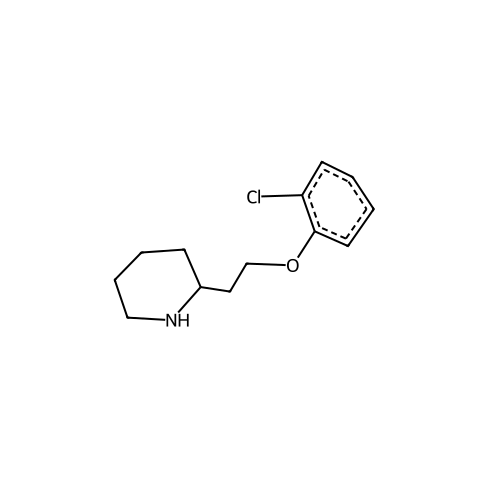 Clc1ccccc1OCCC1CCCCN1